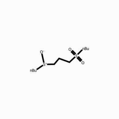 CCCC[S+]([O-])CCCS(=O)(=O)CCCC